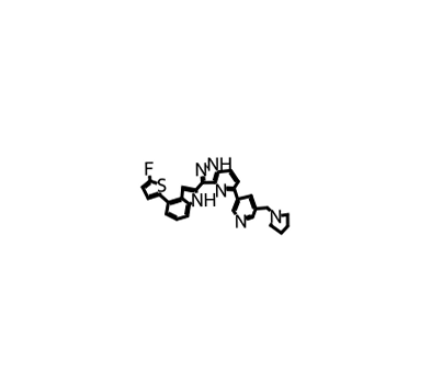 Fc1ccc(-c2cccc3[nH]c(-c4n[nH]c5ccc(-c6cncc(CN7CCCC7)c6)nc45)cc23)s1